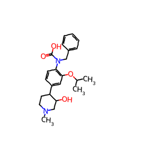 CC(C)Oc1cc(C2CCN(C)CC2O)ccc1N(Cc1ccccc1)C(=O)O